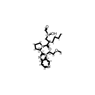 CCCC[C@H](CN(O)C=O)C(=O)N1CCC[C@@H]1c1nc2ccncc2n1CCOC